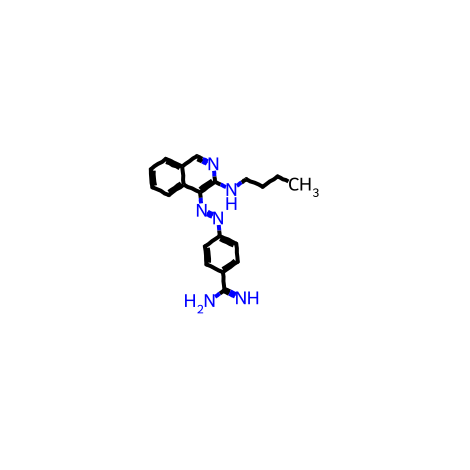 CCCCNc1ncc2ccccc2c1/N=N/c1ccc(C(=N)N)cc1